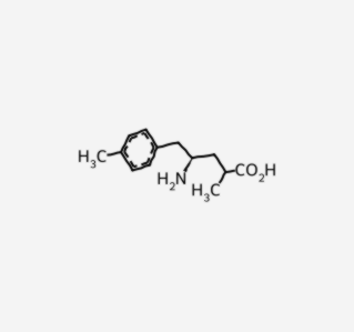 Cc1ccc(C[C@H](N)CC(C)C(=O)O)cc1